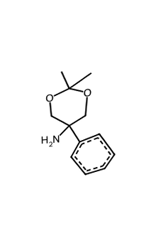 CC1(C)OCC(N)(c2ccccc2)CO1